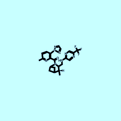 Cc1ccc(-n2nccn2)c(C(=O)N2C3CC(C3)[C@@H](C)C2CNc2cnc(C(F)(F)F)cn2)n1